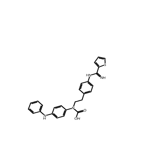 N=C(Nc1ccc(CCN(C(=O)O)c2ccc(Nc3ccccc3)cc2)cc1)c1cccs1